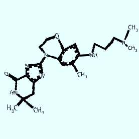 Cc1cc2c(cc1NCCCN(C)C)OCCN2c1nc2c(s1)C(=O)NC(C)(C)C2